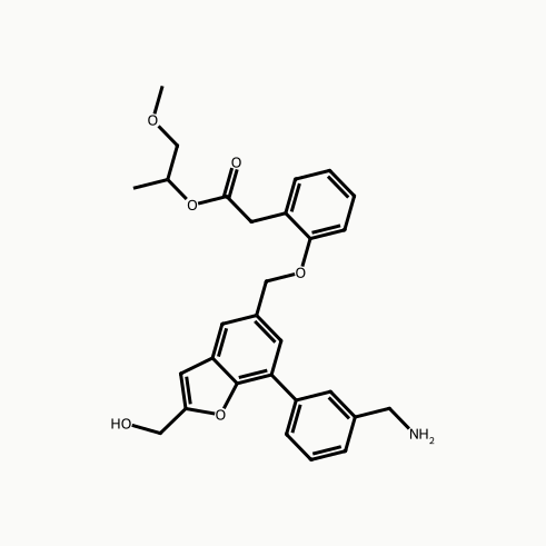 COCC(C)OC(=O)Cc1ccccc1OCc1cc(-c2cccc(CN)c2)c2oc(CO)cc2c1